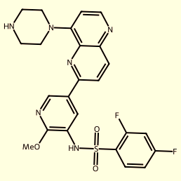 COc1ncc(-c2ccc3nccc(N4CCNCC4)c3n2)cc1NS(=O)(=O)c1ccc(F)cc1F